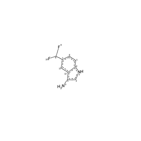 Nc1c[nH]c2ccc(C(F)F)cc12